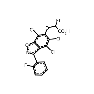 CCC(Oc1c(Cl)c(Cl)c2c(-c3ccccc3F)noc2c1Cl)C(=O)O